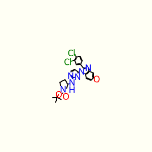 COc1ccc2c(c1)nc(-c1ccc(Cl)c(Cl)c1)n2-c1ccnc(NC2CCCN(C(=O)OC(C)(C)C)C2)n1